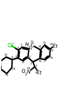 [CH2]CC([C](c1ccc(Cl)c(C2CCCCC2)c1)c1ccc(CC)cc1C)[N+](=O)[O-]